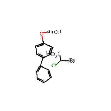 CCC(C)C(Cl)C(=O)O.CCCCCCCCOc1ccc(-c2ccccc2)cc1